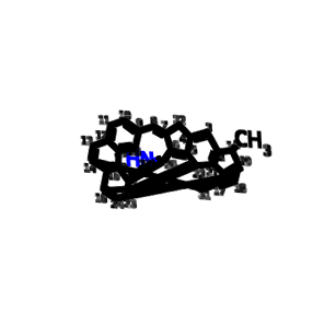 CC1c2cc3c4c5c(cc6ccc7cc8c9c%10c(cc1c1c2c4c(c1%10)c1c5[nH]c6c7c91)C8)C3